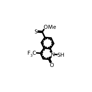 COC(=S)c1ccc2c(c1)c(C(F)(F)F)cc(=O)n2S